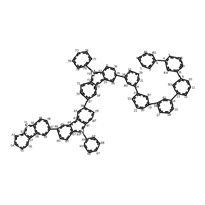 c1ccc(-c2cccc(-c3cccc(-c4cccc(-c5cccc(-c6cccc(-c7ccc8c(c7)c7cc(-c9ccc%10c(c9)c9cc(-c%11ccc%12sc%13ccccc%13c%12c%11)ccc9n%10-c9ccccc9)ccc7n8-c7ccccc7)c6)c5)c4)c3)c2)cc1